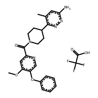 COc1cc(C(=O)N2CCC(c3nnc(N)cc3C)CC2)ncc1Oc1ccccc1.O=C(O)C(F)(F)F